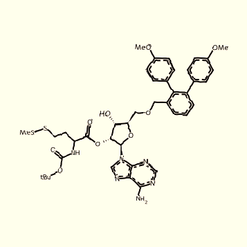 COc1ccc(-c2cccc(COC[C@H]3O[C@@H](n4cnc5c(N)ncnc54)[C@H](OC(=O)C(CCSSC)NC(=O)OC(C)(C)C)[C@@H]3O)c2-c2ccc(OC)cc2)cc1